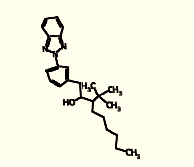 CCCCCCC(C(O)Cc1cccc(-n2nc3ccccc3n2)c1)C(C)(C)C